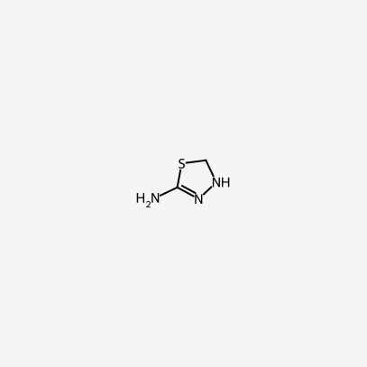 NC1=NNCS1